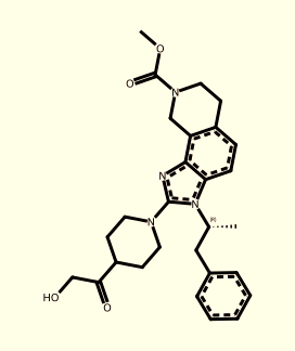 COC(=O)N1CCc2ccc3c(nc(N4CCC(C(=O)CO)CC4)n3[C@H](C)Cc3ccccc3)c2C1